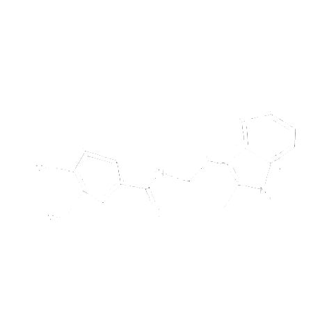 COc1ccc(C(=O)NCCc2c(C)[nH]c3ccccc23)cc1OC